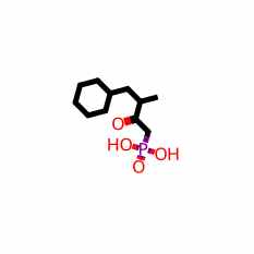 CC(CC1CCCCC1)C(=O)CP(=O)(O)O